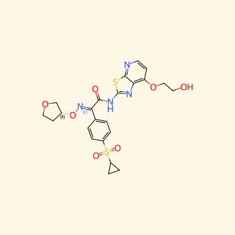 O=C(Nc1nc2c(OCCO)ccnc2s1)/C(=N/O[C@@H]1CCOC1)c1ccc(S(=O)(=O)C2CC2)cc1